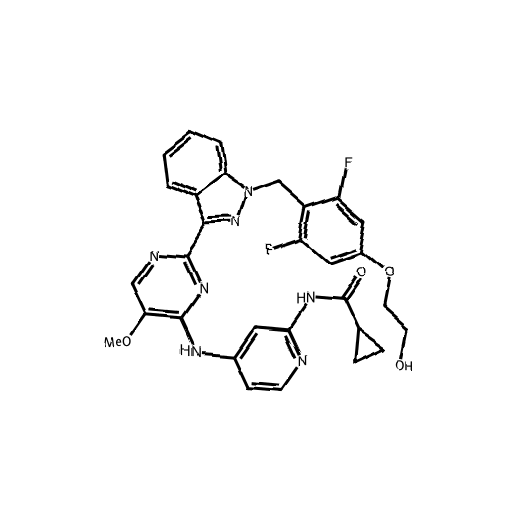 COc1cnc(-c2nn(Cc3c(F)cc(OCCO)cc3F)c3ccccc23)nc1Nc1ccnc(NC(=O)C2CC2)c1